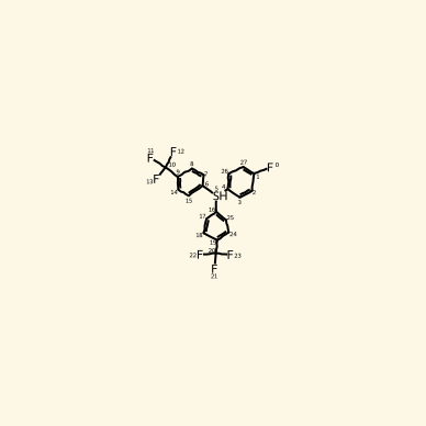 Fc1ccc([SH](c2ccc(C(F)(F)F)cc2)c2ccc(C(F)(F)F)cc2)cc1